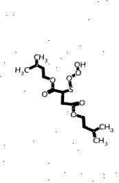 CC(C)CCOC(=O)CC(SOOO)C(=O)OCCC(C)C